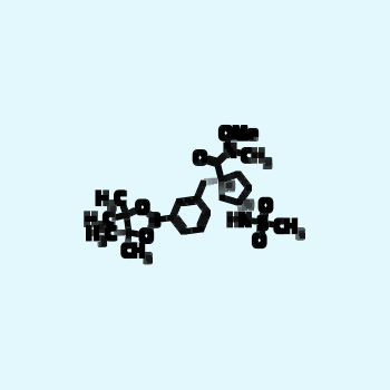 CON(C)C(=O)[C@@]1(Cc2cccc(B3OC(C)(C)C(C)(C)O3)c2)CC[C@H](NS(C)(=O)=O)C1